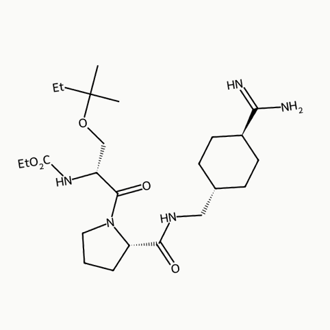 CCOC(=O)N[C@H](COC(C)(C)CC)C(=O)N1CCC[C@H]1C(=O)NC[C@H]1CC[C@H](C(=N)N)CC1